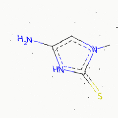 Cn1cc(N)[nH]c1=S